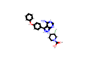 Nc1ncnc2c1c(-c1ccc(Oc3ccccc3)cc1)nn2[C@H]1CCN(C(=O)O)C[C@H]1F